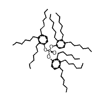 CCCCCCc1ccc(OP(=O)(Oc2ccc(CCCCCC)c(CCCCCC)c2CCCCCC)Oc2ccc(CCCCCC)c(CCCCCC)c2CCCCCC)c(CCCCCC)c1CCCCCC